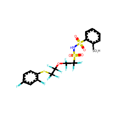 O=S(=O)(O)c1ccccc1S(=O)(=O)NS(=O)(=O)C(F)(F)C(F)(F)OC(F)(F)C(F)(F)Sc1ccc(F)cc1F